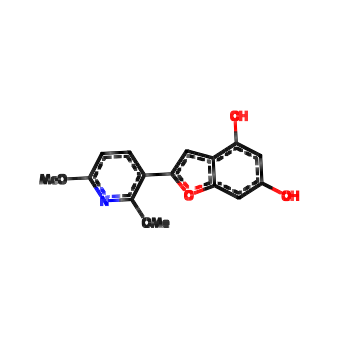 COc1ccc(-c2cc3c(O)cc(O)cc3o2)c(OC)n1